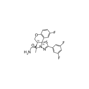 CC(=O)N1N=C(c2cc(F)cc(F)c2)S[C@@]12c1cc(F)ccc1OC[C@@H]2CCN